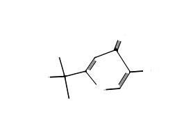 CC(C)(O)c1cc(=O)c(O)co1